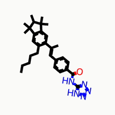 CCCCCc1cc2c(cc1C(C)=Cc1ccc(C(=O)Nc3nnn[nH]3)cc1)C(C)(C)C(C)C2(C)C